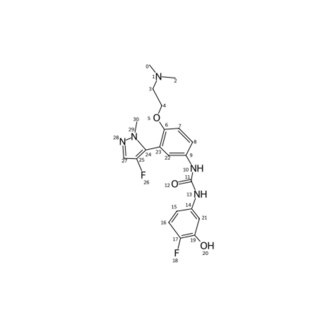 CN(C)CCOc1ccc(NC(=O)Nc2ccc(F)c(O)c2)cc1-c1c(F)cnn1C